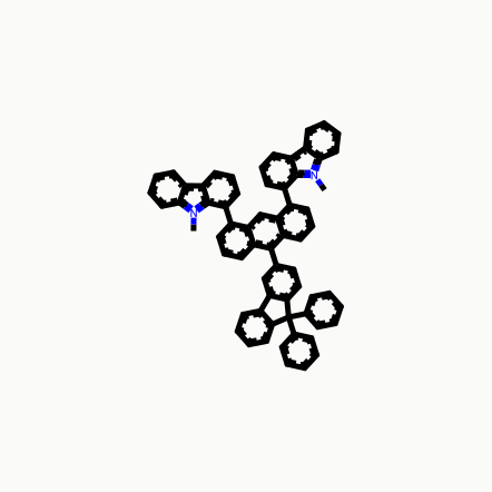 Cn1c2ccccc2c2cccc(-c3cccc4c(-c5ccc6c(c5)-c5ccccc5C6(c5ccccc5)c5ccccc5)c5cccc(-c6cccc7c8ccccc8n(C)c67)c5cc34)c21